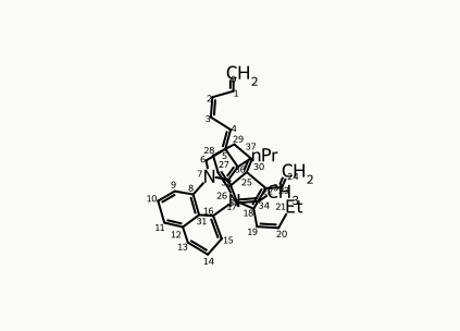 C=C/C=C\C=C1/CN(c2cccc3cccc(-n4c(/C=C\CC)c(C=C)c5c4=CCCC=5)c23)C(/C=C\C)=C1CCC